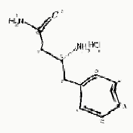 Cl.NC(=O)C[C@H](N)Cc1ccccc1